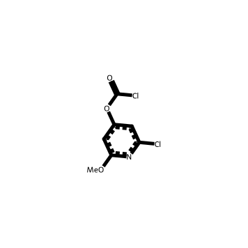 COc1cc(OC(=O)Cl)cc(Cl)n1